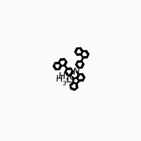 CC1(C)c2ccccc2-c2cccc(N(c3ccc(-c4cccc5ccccc45)cc3)c3cccc(-c4cccc5ccccc45)c3)c21